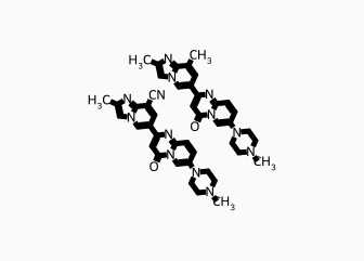 Cc1cn2cc(-c3cc(=O)n4cc(N5CCN(C)CC5)ccc4n3)cc(C#N)c2n1.Cc1cn2cc(-c3cc(=O)n4cc(N5CCN(C)CC5)ccc4n3)cc(C)c2n1